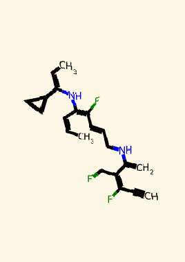 C#C/C(F)=C(/CF)C(=C)NC/C=C/C(F)=C(\C=C/C)N/C(=C\C)C1CC1